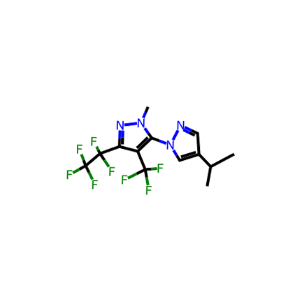 CC(C)c1cnn(-c2c(C(F)(F)F)c(C(F)(F)C(F)(F)F)nn2C)c1